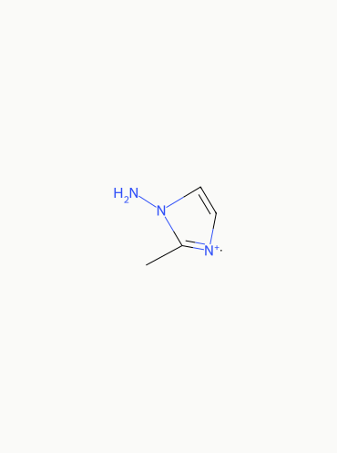 CC1=[N+]C=CN1N